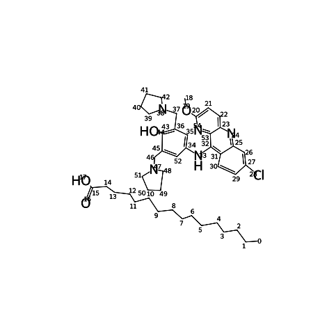 CCCCCCCCCCCCCCCC(=O)O.COc1ccc2nc3cc(Cl)ccc3c(Nc3cc(CN4CCCC4)c(O)c(CN4CCCC4)c3)c2n1